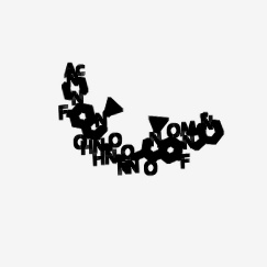 COc1c(N2CC3CCCN(C)C3C2)c(F)cc2c(=O)c(-c3nnc(NC(=O)Nc4cn(C5CC5)c5cc(N6CCN(C(C)=O)CC6)c(F)cc5c4=O)o3)cn(C3CC3)c12